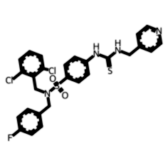 O=S(=O)(c1ccc(NC(=S)NCc2ccncc2)cc1)N(Cc1ccc(F)cc1)Cc1c(Cl)cccc1Cl